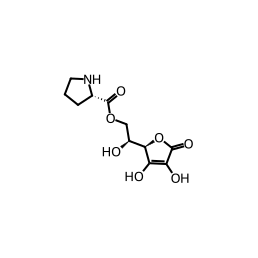 O=C1O[C@H]([C@@H](O)COC(=O)[C@@H]2CCCN2)C(O)=C1O